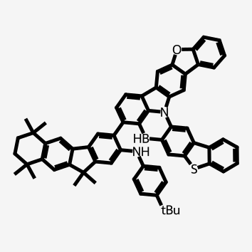 CC(C)(C)c1ccc(Nc2cc3c(cc2-c2ccc4c5cc6oc7ccccc7c6cc5n5c4c2Bc2cc4sc6ccccc6c4cc2-5)-c2cc4c(cc2C3(C)C)C(C)(C)CCC4(C)C)cc1